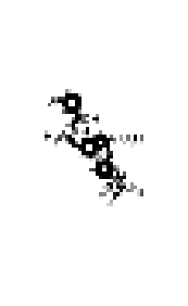 CC(Cc1ccc2c(c1)cc(C(=O)O)n2Cc1cccc(S(=O)(=O)N(C)C(F)(F)F)c1)NCC(O)c1cccc(Br)c1